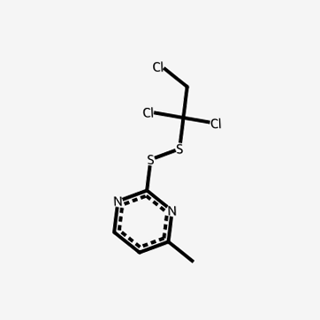 Cc1ccnc(SSC(Cl)(Cl)CCl)n1